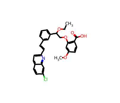 CCOC(COc1cc(OC)ccc1C(=O)O)c1cccc(/C=C/c2ccc3ccc(Cl)cc3n2)c1